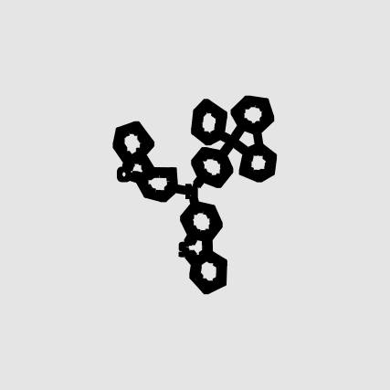 c1ccc(C2(c3ccc(N(c4ccc5c(c4)sc4ccccc45)c4ccc5oc6ccccc6c5c4)cc3)c3ccccc3-c3ccccc32)cc1